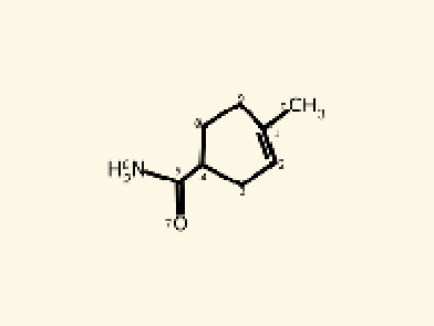 CC1=CCC(C(N)=O)CC1